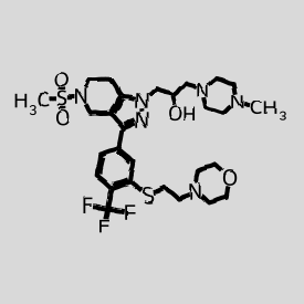 CN1CCN(CC(O)Cn2nc(-c3ccc(C(F)(F)F)c(SCCN4CCOCC4)c3)c3c2CCN(S(C)(=O)=O)C3)CC1